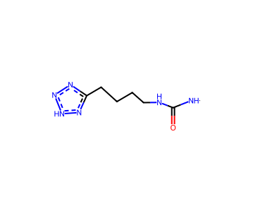 [NH]C(=O)NCCCCc1nn[nH]n1